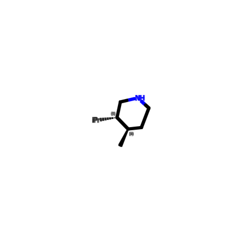 CC(C)[C@@H]1CNCC[C@H]1C